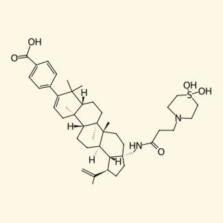 C=C(C)[C@@H]1CC[C@]2(CNC(=O)CCN3CCS(O)(O)CC3)CC[C@]3(C)[C@H](CC[C@@H]4[C@@]5(C)CC=C(c6ccc(C(=O)O)cc6)C(C)(C)[C@@H]5CC[C@]43C)[C@@H]12